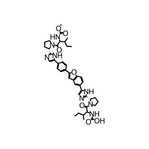 CCC(C)C(NC(=O)O)C(=O)N1CCC[C@H]1c1ncc(-c2ccc3oc(-c4ccc(-c5cnc([C@@H]6CCCN6C(=O)C(NC(=O)OC)C(C)CC)[nH]5)cc4)cc3c2)[nH]1